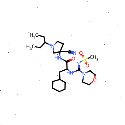 CCC(CC)N1CCC(C#N)(NC(=O)C(CC2CCCCC2)N/C(=N/S(C)(=O)=O)N2CCOCC2)C1